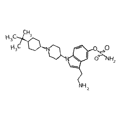 CC(C)(C)[C@H]1CC[C@@H](N2CCC(n3cc(CCN)c4cc(OS(N)(=O)=O)ccc43)CC2)CC1